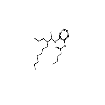 CCCCCCCC(CCC)C(=O)Oc1ccccc1OC(=O)CCCC